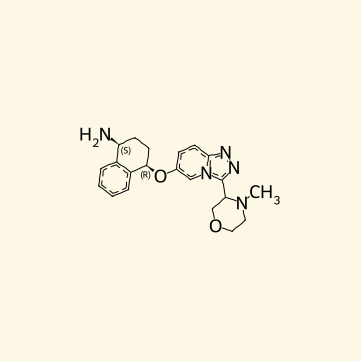 CN1CCOCC1c1nnc2ccc(O[C@@H]3CC[C@H](N)c4ccccc43)cn12